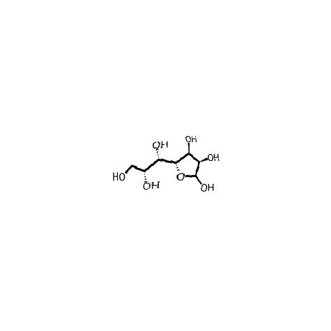 OC[C@@H](O)[C@H](O)[C@H]1OC(O)[C@H](O)[C@@H]1O